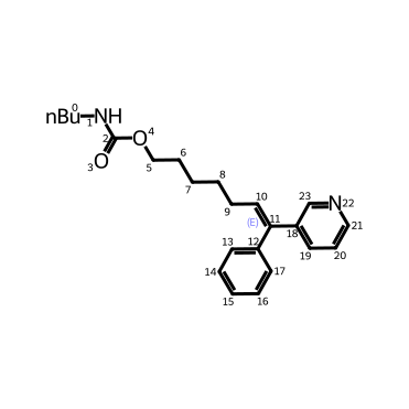 CCCCNC(=O)OCCCCC/C=C(\c1ccccc1)c1cccnc1